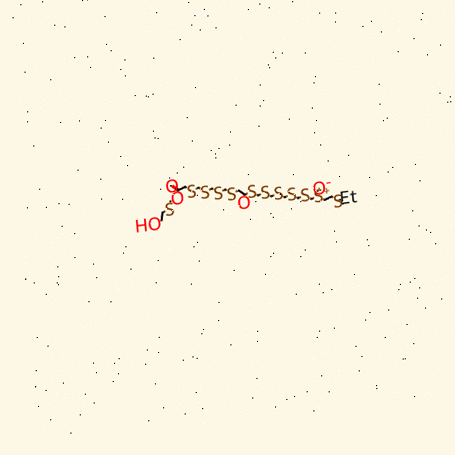 CCSCC[S+]([O-])CSCSCSCSCSC(=O)CSCSCSCSCC(=O)OCSCCO